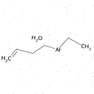 C=CC[CH2][Al][CH2]C.O